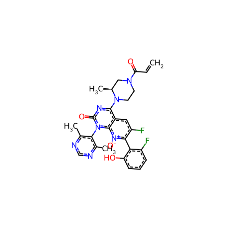 C=CC(=O)N1CCN(c2nc(=O)n(-c3c(C)ncnc3C)c3c2cc(F)c(-c2c(O)cccc2F)[n+]3[O-])[C@@H](C)C1